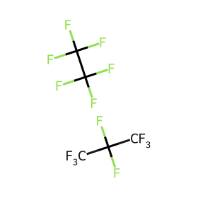 FC(F)(F)C(F)(F)C(F)(F)F.FC(F)(F)C(F)(F)F